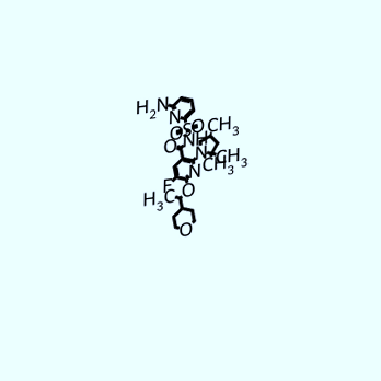 CC(Oc1nc(N2C[C@@H](C)CC2(C)C)c(C(=O)NS(=O)(=O)c2cccc(N)n2)cc1F)C1CCOCC1